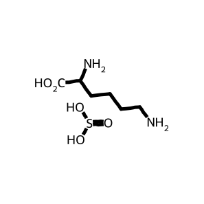 NCCCCC(N)C(=O)O.O=S(O)O